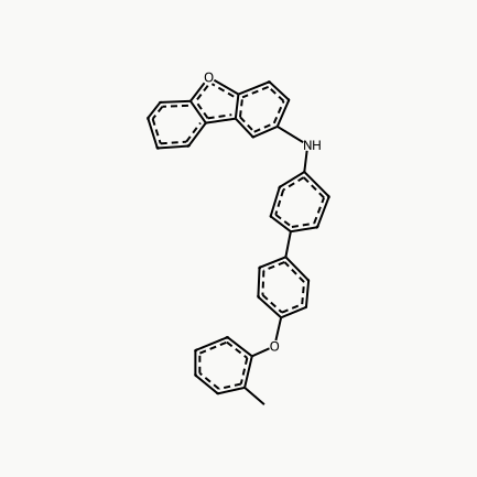 Cc1ccccc1Oc1ccc(-c2ccc(Nc3ccc4oc5ccccc5c4c3)cc2)cc1